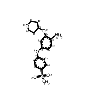 CS(=O)(=O)c1ccc(Oc2ccc(N)c(OC3CCOCC3)c2)nc1